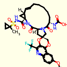 COc1ccc2nc(C(F)(F)F)c3c(c2c1)OC[C@]1(C[C@H]2C(=O)N[C@]4(C(=O)NS(=O)(=O)C5(C)CC5)C[C@@H]4/C=C/CCCCC[C@H](NC(=O)O)C(=O)N2C1)O3